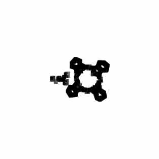 [Cl][GeH2][Cl].c1ccc2c(c1)-c1nc-2nc2[nH]c(nc3nc(nc4[nH]c(n1)c1ccccc41)-c1ccccc1-3)c1ccccc21